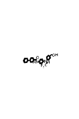 O=C(Nc1ccc(-n2c(C(F)(F)F)nc3cc(CO)ccc32)cc1)c1ccc(-c2ccccc2)cc1